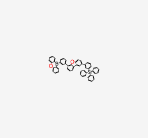 c1ccc([Si](c2ccccc2)(c2ccccc2)c2cccc(-c3ccc4oc5c(-c6cccc(B7c8ccccc8Oc8ccccc87)c6)cccc5c4c3)c2)cc1